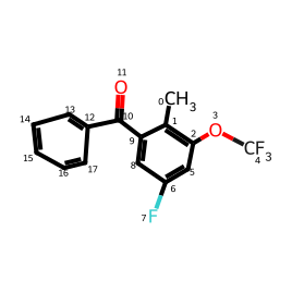 Cc1c(OC(F)(F)F)cc(F)cc1C(=O)c1ccccc1